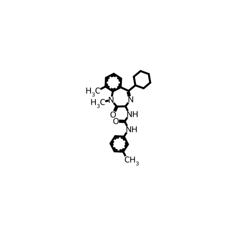 Cc1cccc(NC(=O)NC2N=C(C3CCCCC3)c3cccc(C)c3N(C)C2=O)c1